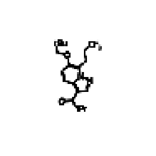 CC(C)C(=O)c1cnn2c(CCC(F)(F)F)c(OCC(C)(C)C)ccc12